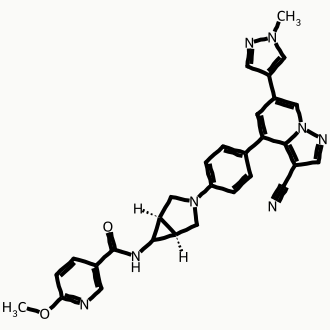 COc1ccc(C(=O)NC2[C@H]3CN(c4ccc(-c5cc(-c6cnn(C)c6)cn6ncc(C#N)c56)cc4)C[C@@H]23)cn1